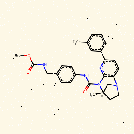 CC(C)(C)OC(=O)NCc1ccc(NC(=O)N2c3nc(-c4cccc(C(F)(F)F)c4)ccc3N3CC[C@@]2(C)C3)cc1